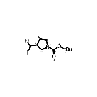 CC(C)(C)OC(=O)N1CCC(C(F)F)C1